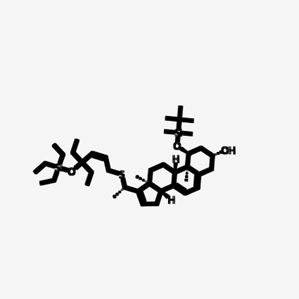 CCC(/C=C\CS[C@@H](C)C1=CC[C@H]2C3=CC=C4C[C@@H](O)C[C@H](O[Si](C)(C)C(C)(C)C)[C@]4(C)[C@H]3CC[C@]12C)(CC)O[Si](CC)(CC)CC